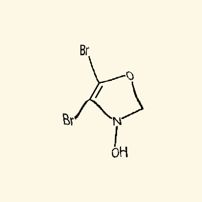 ON1COC(Br)=C1Br